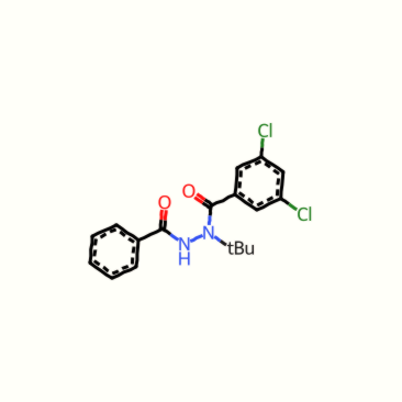 CC(C)(C)N(NC(=O)c1ccccc1)C(=O)c1cc(Cl)cc(Cl)c1